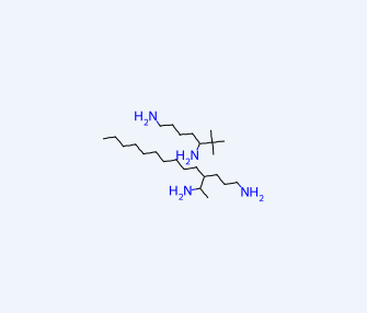 CC(C)(C)C(N)CCCCN.CCCCCCCCCCC(CCCN)C(C)N